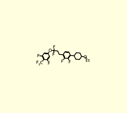 CCOC1CCC(c2ccc(CCC(F)(F)Oc3cc(F)c(C(F)(F)F)c(F)c3)c(F)c2F)CC1